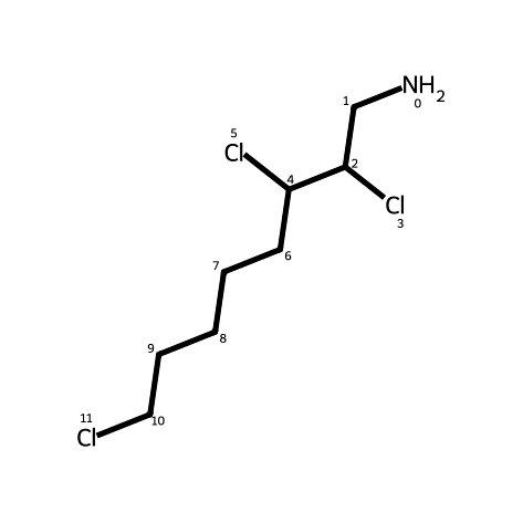 NCC(Cl)C(Cl)CCCCCCl